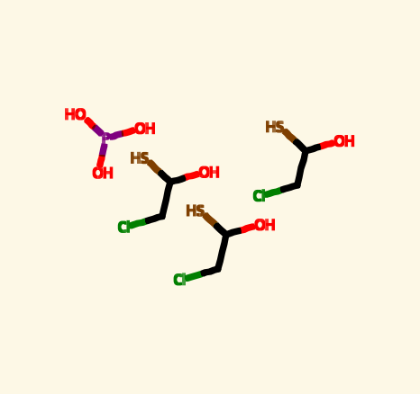 OC(S)CCl.OC(S)CCl.OC(S)CCl.OP(O)O